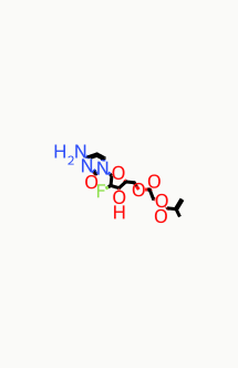 C=C(C)C(=O)OCC(=O)OCC1OC(n2ccc(N)nc2=O)C(F)C1O